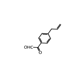 C=CCc1ccc(C(=O)C=O)cc1